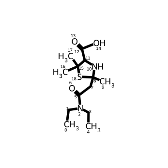 CCN(CC)C(=O)CC1(C)NC(C(=O)O)C(C)(C)S1